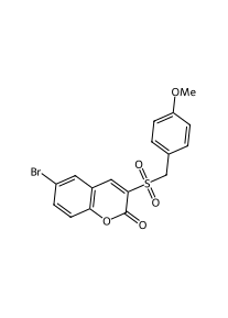 COc1ccc(CS(=O)(=O)c2cc3cc(Br)ccc3oc2=O)cc1